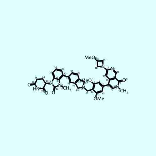 COc1cc(-c2cn(C)c(=O)c3cnc(N4CC(OC)C4)cc23)cc(OC)c1CN1Cc2ccc(-c3cccc4c3n(C)c(=O)n4C3CCC(=O)NC3=O)cc2C1